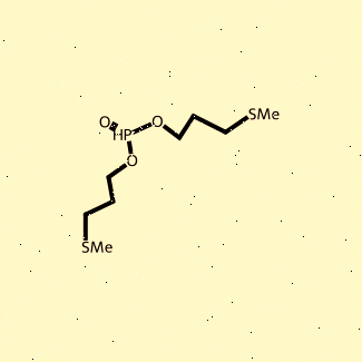 CSCCCO[PH](=O)OCCCSC